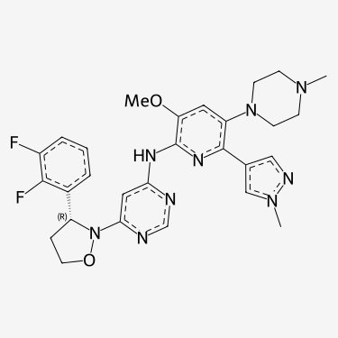 COc1cc(N2CCN(C)CC2)c(-c2cnn(C)c2)nc1Nc1cc(N2OCC[C@@H]2c2cccc(F)c2F)ncn1